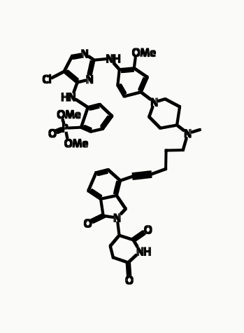 COc1cc(N2CCC(N(C)CCCC#Cc3cccc4c3CN(C3CCC(=O)NC3=O)C4=O)CC2)ccc1Nc1ncc(Cl)c(Nc2ccccc2P(=O)(OC)OC)n1